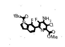 COC(=O)c1nc(-c2ccc3ccn(C(=O)C(C)(C)C)c3c2F)c(F)c(N)c1Cl